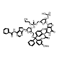 COc1ccc(C(OC[C@H]2O[C@@H](n3ccc4c(NC(=O)c5ccccc5)ncnc43)C[C@@H]2OP(=S)(OCCC#N)OC[C@@H]2C[C@@H](O[PH](=O)O)[C@H](n3cnc4c(=O)[nH]c(NC(=O)C(C)C)nc43)O2)(c2ccccc2)c2ccc(OC)cc2)cc1